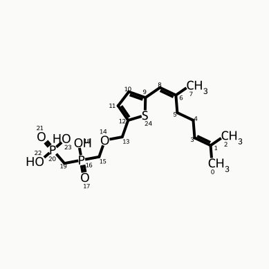 CC(C)=CCCC(C)=Cc1ccc(COCP(=O)(O)CP(=O)(O)O)s1